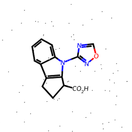 O=C(O)C1CCc2c1n(-c1ncon1)c1ccccc21